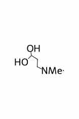 C[N]CCC(O)O